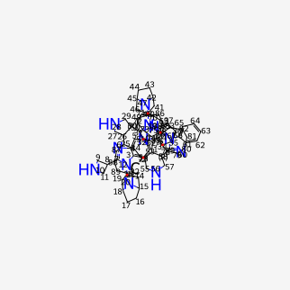 c1ccc2c(c1)nc(C1CNC1)n2C1CC2CCC(C1)N2C1CCCC(C2CNC[C@@H]2c2nc3ccccc3n2C2CC3CCC(C2)N3C2CCCC(C3CCNC[C@@H]3c3nc4ccccc4n3C3CC4CCC(C3)N4C3CCCCCCC3)CCC2)CCC1